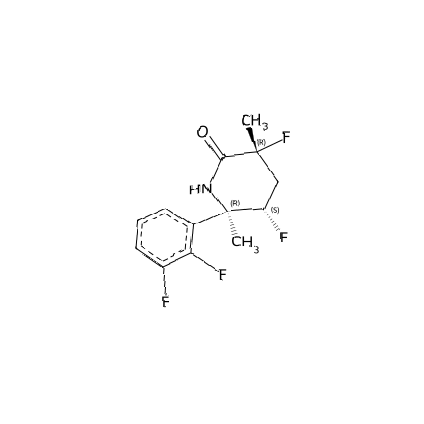 C[C@@]1(F)C[C@H](F)[C@@](C)(c2cccc(F)c2F)NC1=O